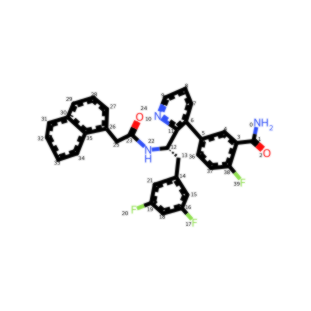 NC(=O)c1cc(-c2cccnc2[C@H](Cc2cc(F)cc(F)c2)NC(=O)Cc2cccc3ccccc23)ccc1F